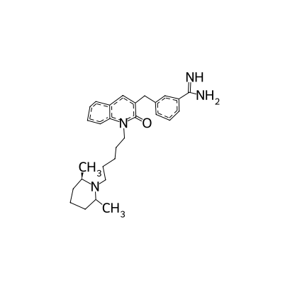 CC1CCC[C@@H](C)N1CCCCCn1c(=O)c(Cc2cccc(C(=N)N)c2)cc2ccccc21